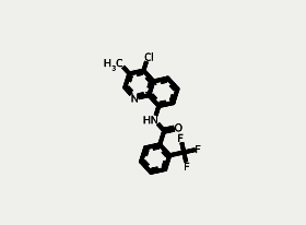 Cc1cnc2c(NC(=O)c3ccccc3C(F)(F)F)cccc2c1Cl